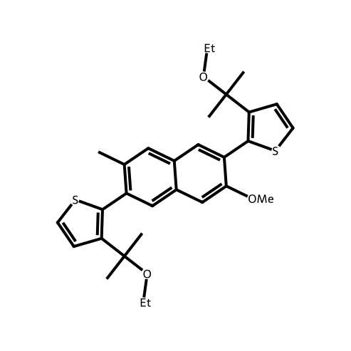 CCOC(C)(C)c1ccsc1-c1cc2cc(OC)c(-c3sccc3C(C)(C)OCC)cc2cc1C